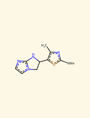 CNc1nc(C)c(C2Cn3ccnc3N2)s1